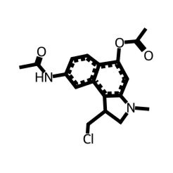 CC(=O)Nc1ccc2c(OC(C)=O)cc3c(c2c1)C(CCl)CN3C